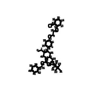 CCC1=C(c2ccc(OCCOc3ccccc3Cl)cc2)CC(CO[Si](C)(C)C(C)(C)C)N(C(=O)OCc2ccccc2)C1